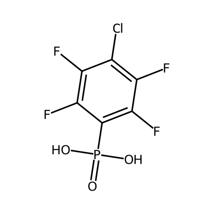 O=P(O)(O)c1c(F)c(F)c(Cl)c(F)c1F